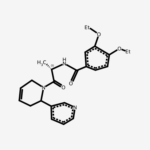 CCOc1ccc(C(=O)N[C@@H](C)C(=O)N2CC=CCC2c2cccnc2)cc1OCC